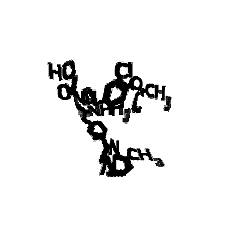 Cc1cccn2cc(-c3ccc(C[C@@H](CNC(=O)CO)NC(=O)c4ccc(OC(C)C)c(Cl)c4)cc3)nc12